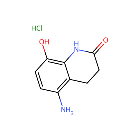 Cl.Nc1ccc(O)c2c1CCC(=O)N2